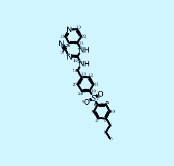 CCCc1ccc(S(=O)(=O)c2ccc(CNC(=NC#N)Nc3ccncc3)cc2)cc1